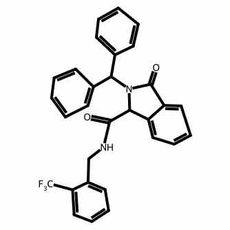 O=C(NCc1ccccc1C(F)(F)F)C1c2ccccc2C(=O)N1C(c1ccccc1)c1ccccc1